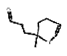 CC1(CCC=O)CCC=CO1